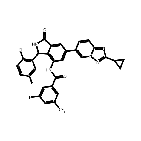 O=C(Nc1cc(-c2ccc3nc(C4CC4)nn3c2)cc2c1C(c1cc(F)ccc1Cl)NC2=O)c1cc(F)cc(C(F)(F)F)c1